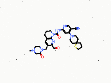 CN1CCN(Cc2cc3c(nc2C=O)N(C(=O)Nc2cc(N4CCC5(CCCS5)CC4)c(C#N)cn2)CCC3)C(=O)C1